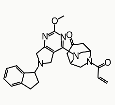 C=CC(=O)N1CC2CC(=O)CC1CN2c1nc(OC)nc2c1CN(C1CCc3ccccc31)C2